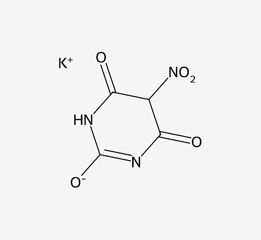 O=C1N=C([O-])NC(=O)C1[N+](=O)[O-].[K+]